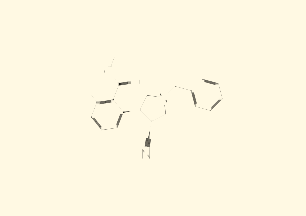 COC(=O)c1c(F)cccc1[C@H]1CN(Cc2ccccc2)C[C@H]1C#N